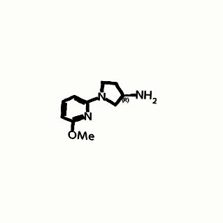 COc1cccc(N2CC[C@@H](N)C2)n1